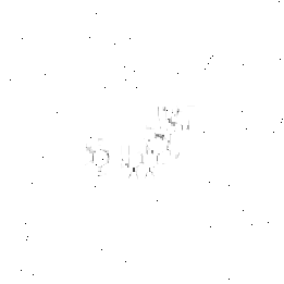 C[C@H]1[C@H]2C3CC([C@@H]12)N1C(=O)c2c(O)c(=O)c(C(=O)NCc4cc(F)c(F)cc4F)cn2C[C@@H]31